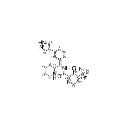 O=C(N[C@@H](c1cccc(-c2cn[nH]c2)c1)C1CCCCN1)c1nccc(C(F)(F)F)c1Cl